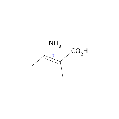 C/C=C(\C)C(=O)O.N